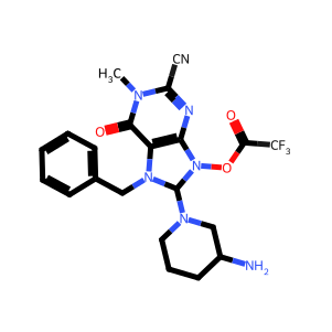 Cn1c(C#N)nc2c(c1=O)N(Cc1ccccc1)C(N1CCCC(N)C1)N2OC(=O)C(F)(F)F